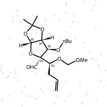 C=CC[C@H](OCOC)[C@@]1(C=O)O[C@@H]2OC(C)(C)O[C@@H]2[C@H]1OCCCC